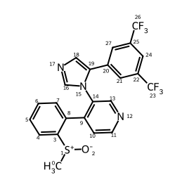 C[S+]([O-])c1ccccc1-c1ccncc1-n1cncc1-c1cc(C(F)(F)F)cc(C(F)(F)F)c1